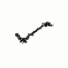 CC(C)(C)[C@H](NC(=O)CCOCCOCCOCCOCCOCCC(=O)NCCCCn1cnc(-c2cnc(O[C@@H]3CCN(C(=O)Cc4ccc(OC(F)(F)F)cc4)C[C@H]3F)c(C(N)=O)c2)c1)C(=O)N1CC[C@@H](O)C1